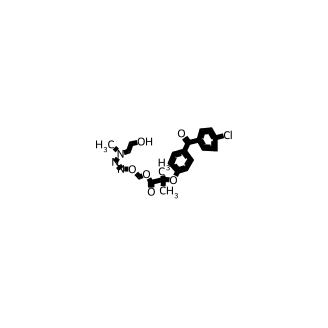 CN(CCO)/N=N\OCOC(=O)C(C)(C)Oc1ccc(C(=O)c2ccc(Cl)cc2)cc1